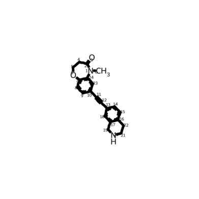 CN1C(=O)CCOc2ccc(C#Cc3ccc4c(c3)CNCC4)cc21